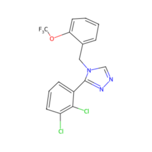 FC(F)(F)Oc1ccccc1Cn1cnnc1-c1cccc(Cl)c1Cl